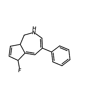 FC1C=CC2CNC=C(c3ccccc3)C=C12